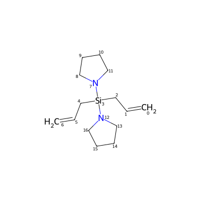 C=CC[Si](CC=C)(N1CCCC1)N1CCCC1